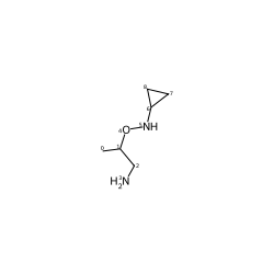 CC(CN)ONC1CC1